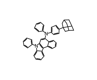 c1ccc(N(c2ccc(C34CC5CC6CC(C3)C64C5)cc2)c2cc3c(c4ccccc24)c2ccccc2n3-c2ccccc2)cc1